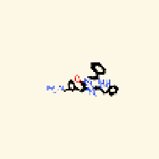 NCc1cccc(Cc2nc3c(Cc4ccccc4)[nH]c(-c4ccccc4)cn-3c2=O)c1